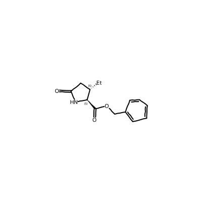 CC[C@H]1CC(=O)N[C@@H]1C(=O)OCc1ccccc1